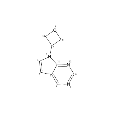 c1ncc2ccn(C3COC3)c2n1